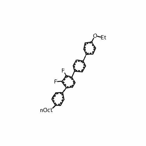 CCCCCCCCc1ccc(-c2ccc(-c3ccc(-c4ccc(OCC)cc4)cc3)c(F)c2F)cc1